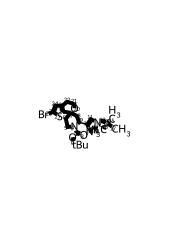 CC(C)(C)OC(=O)N1CCC2(C[C@H]1c1cn(C[Si](C)(C)C)nn1)OCCc1cc(Br)sc12